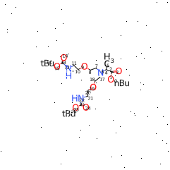 CCCCOC(=O)[C@H](C)N(CCOCCNC(=O)OC(C)(C)C)CCOCCNC(=O)OC(C)(C)C